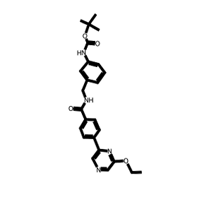 CCOc1cncc(-c2ccc(C(=O)NCc3cccc(NC(=O)OC(C)(C)C)c3)cc2)n1